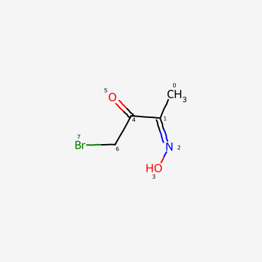 CC(=NO)C(=O)CBr